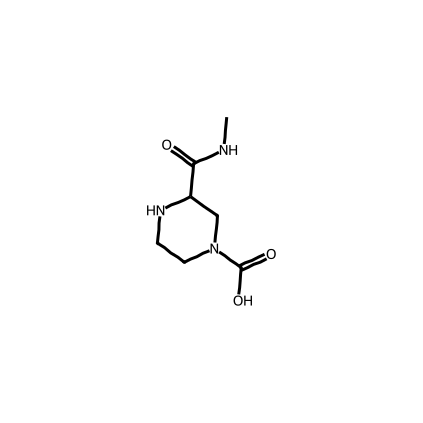 CNC(=O)C1CN(C(=O)O)CCN1